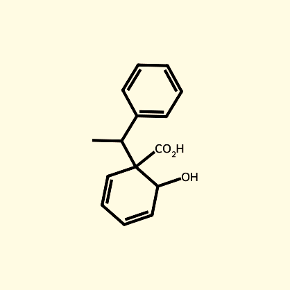 CC(c1ccccc1)C1(C(=O)O)C=CC=CC1O